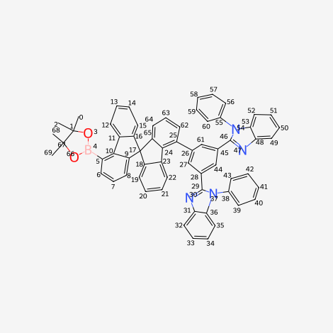 CC1(C)OB(c2cccc3c2-c2ccccc2C32c3ccccc3-c3c(-c4cc(-c5nc6ccccc6n5-c5ccccc5)cc(-c5nc6ccccc6n5-c5ccccc5)c4)cccc32)OC1(C)C